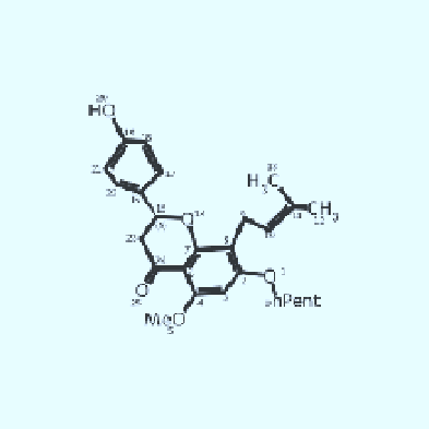 CCCCCOc1cc(OC)c2c(c1CC=C(C)C)O[C@H](c1ccc(O)cc1)CC2=O